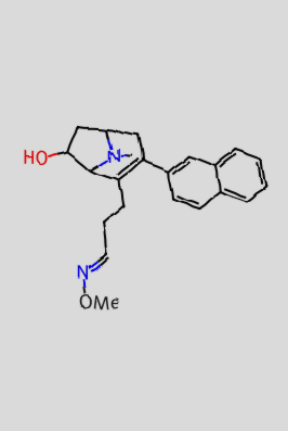 CON=CCCC1=C(c2ccc3ccccc3c2)CC2CC(O)C1N2C